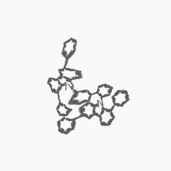 c1ccc(-c2ccc3c(c2)c2cccc(-c4ccccc4)c2n3-c2cccc(-c3ccccc3-n3c4ccc(-c5ccccc5)cc4c4cccc(-c5ccccc5)c43)c2)cc1